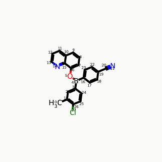 Cc1cc(B(Oc2cccc3cccnc23)c2ccc(C#N)cc2)ccc1Cl